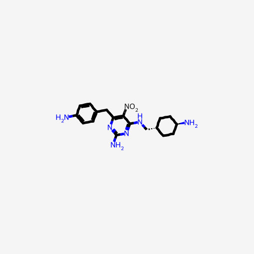 Nc1ccc(Cc2nc(N)nc(NC[C@H]3CC[C@H](N)CC3)c2[N+](=O)[O-])cc1